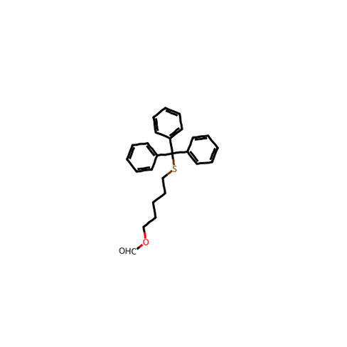 O=COCCCCCSC(c1ccccc1)(c1ccccc1)c1ccccc1